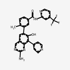 Cc1ccc(C(=O)Nc2cc(C(F)(F)F)ccn2)cc1-c1cc2cnc(N)nc2c(-c2ccncc2)c1O